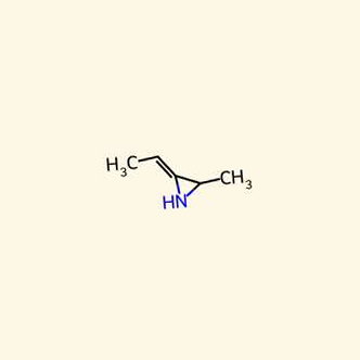 C/C=C1\NC1C